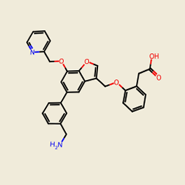 NCc1cccc(-c2cc(OCc3ccccn3)c3occ(COc4ccccc4CC(=O)O)c3c2)c1